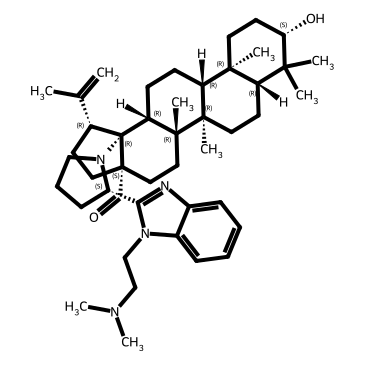 C=C(C)[C@H]1CC[C@]2(C=O)CC[C@]3(C)[C@@H](CC[C@@H]4[C@@]5(C)CC[C@H](O)C(C)(C)[C@@H]5CC[C@]43C)[C@]12N1CCC[C@H]1c1nc2ccccc2n1CCN(C)C